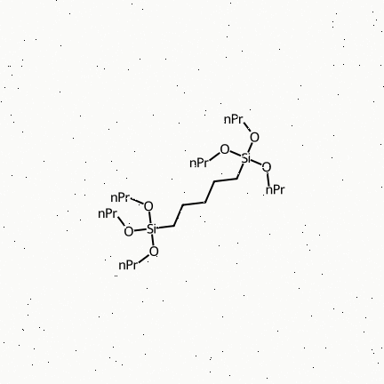 CCCO[Si](CCCCC[Si](OCCC)(OCCC)OCCC)(OCCC)OCCC